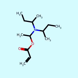 C=CC(=O)OC(C)N(C(C)CC)C(C)CC